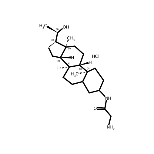 C[C@@H](O)[C@H]1CC[C@H]2[C@@H]3CCC4CC(NC(=O)CN)CC[C@]4(C)[C@H]3CC[C@]12C.Cl